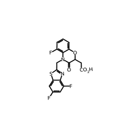 O=C(O)CC1Oc2cccc(F)c2N(Cc2nc3c(F)cc(F)cc3s2)C1=O